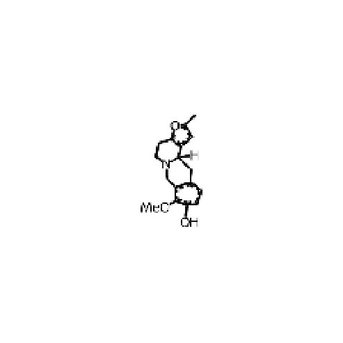 COc1c(O)ccc2c1CN1CCc3oc(C)cc3[C@@H]1C2